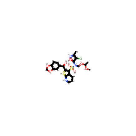 COC(C)OCN(c1onc(C)c1Cl)S(=O)(=O)c1c(C(=O)c2ccc3c(c2)OCO3)sc2ncccc12